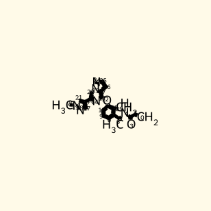 C=CC(=O)NC(C)c1cccc(Oc2nc(-c3cnn(C)c3)cn3nccc23)c1C